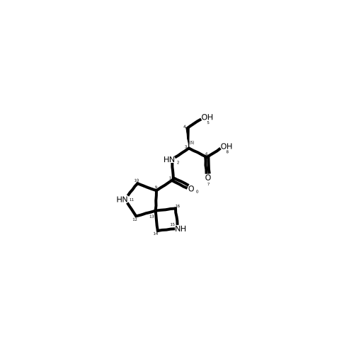 O=C(N[C@@H](CO)C(=O)O)C1CNCC12CNC2